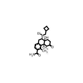 CCN(CC1CCC1)[C@@H]1Cc2ccc(C(N)=O)c(C)c2[C@@]2(C)CC(=O)CC[C@@]12O